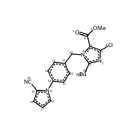 CCCCc1nc(Cl)c(C(=O)OC)n1Cc1ccc(-n2cccc2C#N)cc1